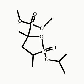 COP(=O)(OC)C1(C)CC(C)P(=O)(OC(C)C)O1